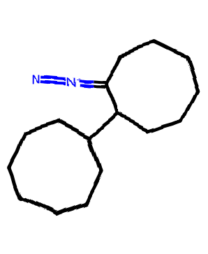 [N-]=[N+]=C1CCCCCCC1C1CCCCCCC1